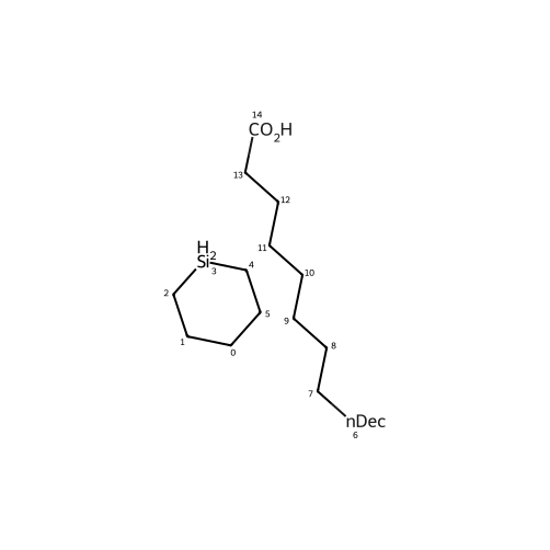 C1CC[SiH2]CC1.CCCCCCCCCCCCCCCCCC(=O)O